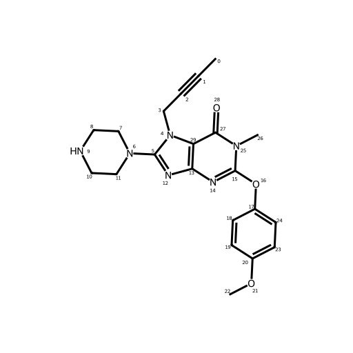 CC#CCn1c(N2CCNCC2)nc2nc(Oc3ccc(OC)cc3)n(C)c(=O)c21